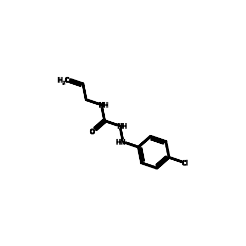 C=CCNC(=O)NNc1ccc(Cl)cc1